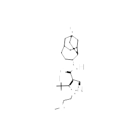 COCCn1ncc(C(=O)N[C@H]2CCC3CC4C[C@@](O)(C3)CC42)c1C(F)(F)F